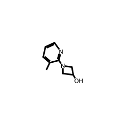 Cc1cccnc1N1CC(O)C1